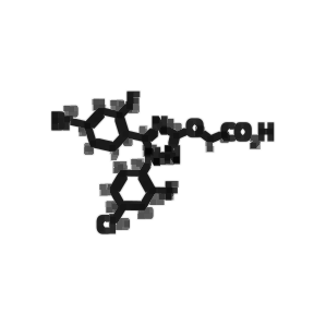 O=C(O)COc1nc(-c2ccc(Br)cc2F)n(-c2ccc(Cl)cc2F)n1